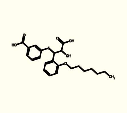 CCCCCCCOc1ccccc1C(Sc1cccc(C(=O)O)c1)C(O)C(=O)O